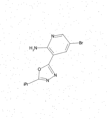 CC(C)c1nnc(-c2cc(Br)cnc2N)o1